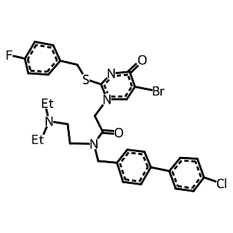 CCN(CC)CCN(Cc1ccc(-c2ccc(Cl)cc2)cc1)C(=O)Cn1cc(Br)c(=O)nc1SCc1ccc(F)cc1